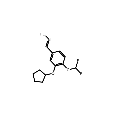 O/N=C/c1ccc(OC(F)F)c(OC2CCCC2)c1